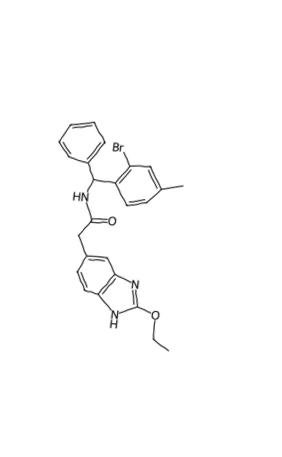 CCOc1nc2cc(CC(=O)NC(c3ccccc3)c3ccc(C)cc3Br)ccc2[nH]1